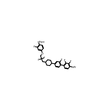 CCCCCc1ccc(OCC(F)(F)CC2CCC(c3ccc(-c4ccc(CCC)c(F)c4F)c(F)c3)CC2)cc1F